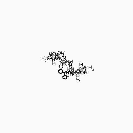 CCC(=O)N[C@H]1C[C@@H](N2C=NC3C(N[C@@H]4CCN(c5nc(NCC(c6ccccc6)c6ccccc6)c6ncn([C@@H]7C[C@H](NC(=O)CC)[C@@H](O)[C@H]7O)c6n5)C4)=NC(Cl)=NC32)[C@H](O)[C@@H]1O